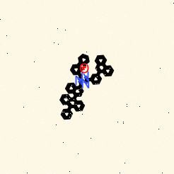 c1ccc(-c2c3ccccc3c(-c3ccc(-c4nc(-c5cccc(-c6cc7ccccc7c7ccccc67)c5)nc(-c5cccc6c5oc5ccccc56)n4)c4ccccc34)c3ccccc23)cc1